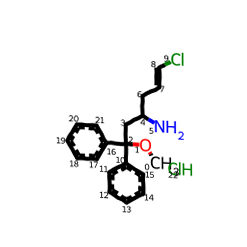 COC(CC(N)C/C=C/Cl)(c1ccccc1)c1ccccc1.Cl